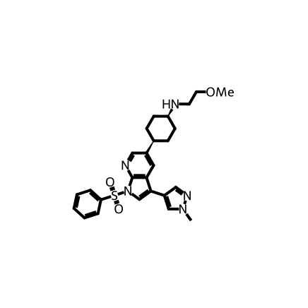 COCCN[C@H]1CC[C@@H](c2cnc3c(c2)c(-c2cnn(C)c2)cn3S(=O)(=O)c2ccccc2)CC1